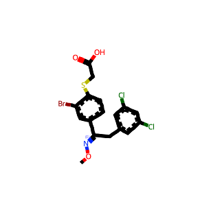 CO/N=C(\Cc1cc(Cl)cc(Cl)c1)c1ccc(SCC(=O)O)c(Br)c1